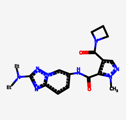 CCN(CC)c1nc2ccc(NC(=O)c3c(C(=O)N4CCC4)cnn3C)cn2n1